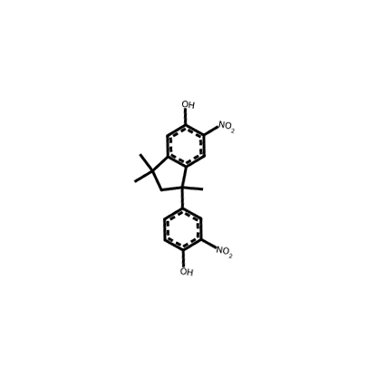 CC1(C)CC(C)(c2ccc(O)c([N+](=O)[O-])c2)c2cc([N+](=O)[O-])c(O)cc21